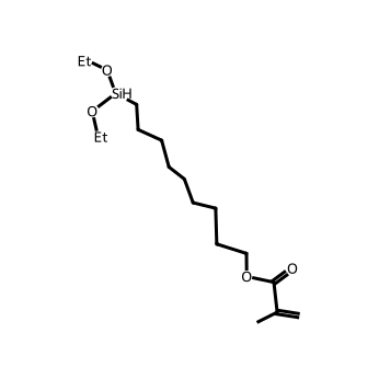 C=C(C)C(=O)OCCCCCCCCC[SiH](OCC)OCC